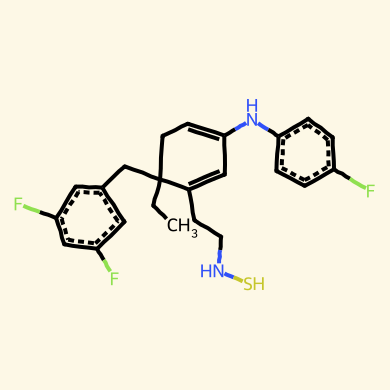 CCC1(Cc2cc(F)cc(F)c2)CC=C(Nc2ccc(F)cc2)C=C1CCNS